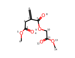 C=C(CC(=O)OC)C(=O)OCC(=O)OC